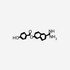 N=C(N)c1ccc2cc(OC(=O)c3ccc(O)cc3)ccc2c1